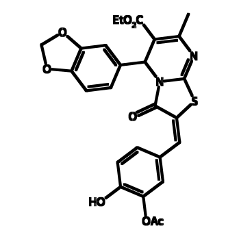 CCOC(=O)C1=C(C)N=c2sc(=Cc3ccc(O)c(OC(C)=O)c3)c(=O)n2C1c1ccc2c(c1)OCO2